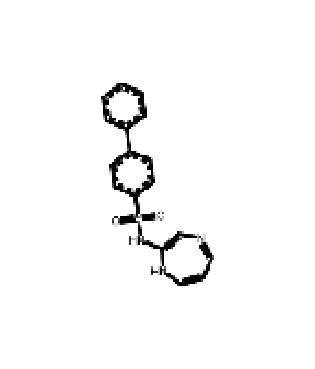 O=S(=O)(NC1=CN=CC=CN1)c1ccc(-c2ccccc2)cc1